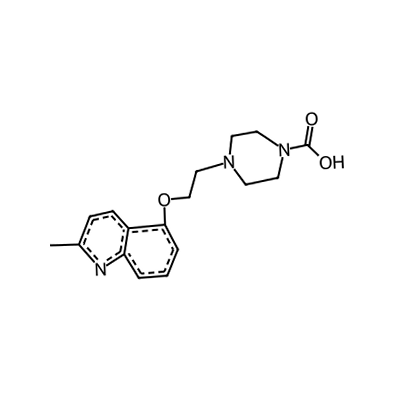 Cc1ccc2c(OCCN3CCN(C(=O)O)CC3)cccc2n1